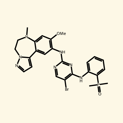 COc1cc2c(cc1Nc1ncc(Br)c(Nc3ccccc3P(C)(C)=O)n1)-c1ccnn1CCN2C